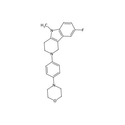 Cn1c2c(c3cc(F)ccc31)CN(c1ccc(N3CCOCC3)cc1)CC2